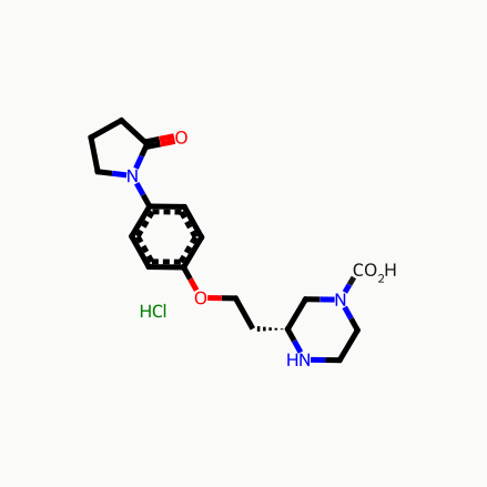 Cl.O=C(O)N1CCN[C@H](CCOc2ccc(N3CCCC3=O)cc2)C1